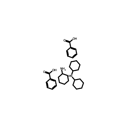 C1CCC(NC2CCCCC2)CC1.NC1CCCCC1.O=C(O)c1ccccc1.O=C(O)c1ccccc1